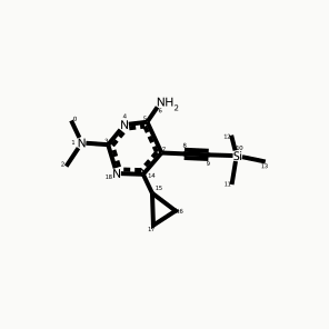 CN(C)c1nc(N)c(C#C[Si](C)(C)C)c(C2CC2)n1